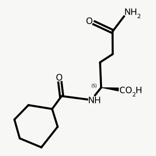 NC(=O)CC[C@H](NC(=O)C1CCCCC1)C(=O)O